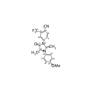 C=C1N(c2ccc(C#N)c(C(F)(F)F)c2)C(=O)C(C)N1c1ccc(OC)cc1